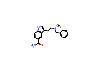 CN(CCc1c[nH]c2ccc(C(N)=O)cc12)Cc1ccccc1